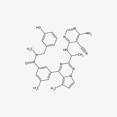 Cc1cc(C(=O)N(C)Cc2cccc(O)c2)cc(-c2nc(C(C)Nc3ncnc(N)c3C#N)nn3ccc(C)c23)c1